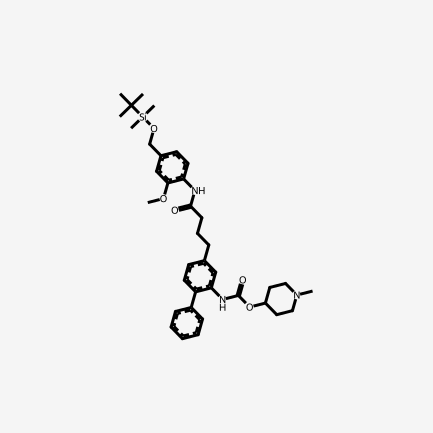 COc1cc(CO[Si](C)(C)C(C)(C)C)ccc1NC(=O)CCCc1ccc(-c2ccccc2)c(NC(=O)OC2CCN(C)CC2)c1